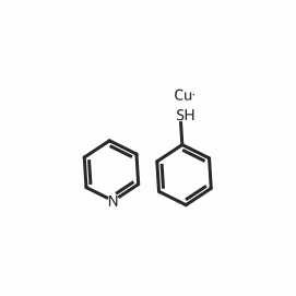 Sc1ccccc1.[Cu].c1ccncc1